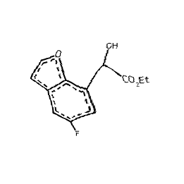 CCOC(=O)C(O)c1cc(F)cc2ccoc12